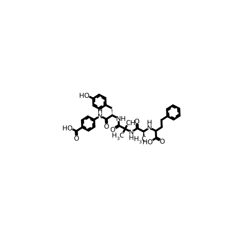 C[C@H](NC(CCc1ccccc1)C(=O)O)C(=O)NC(C)(C)C(=O)N[C@@H](Cc1ccc(O)cc1)C(=O)Nc1ccc(C(=O)O)cc1